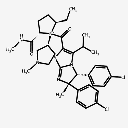 CC[C@@H]1CC[C@@H](C(=O)NC)[N+]1(C(=O)C1=C(C(C)C)N2C(=N[C@@](C)(c3ccc(Cl)cc3)[C@H]2c2ccc(Cl)cc2)S1)[C@H]1CCN(C)C1